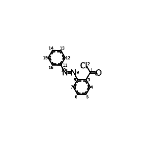 O=C(Cl)c1ccccc1N=Nc1ccccc1